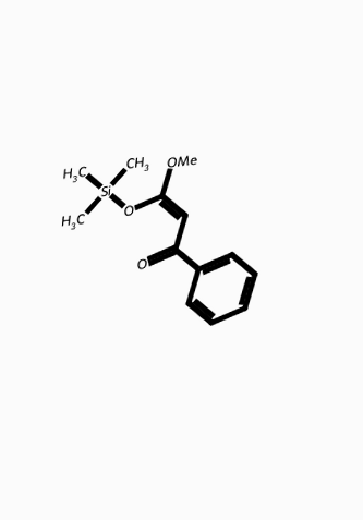 COC(=CC(=O)c1ccccc1)O[Si](C)(C)C